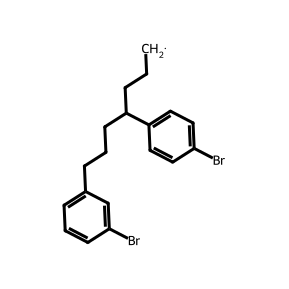 [CH2]CCC(CCCc1cccc(Br)c1)c1ccc(Br)cc1